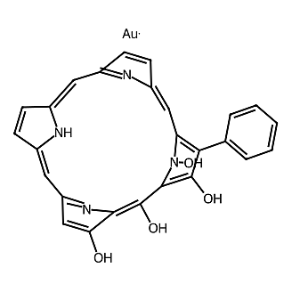 OC1=Cc2cc3ccc(cc4nc(cc5c(-c6ccccc6)c(O)c(c(O)c1n2)n5O)C=C4)[nH]3.[Au]